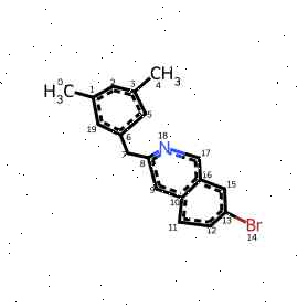 Cc1cc(C)cc(Cc2cc3ccc(Br)cc3cn2)c1